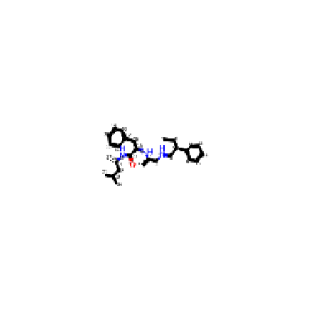 C=C(CNCC(CC)c1ccccc1)NC(Cc1ccccc1)C(=O)N[C@@H](C)CC(C)C